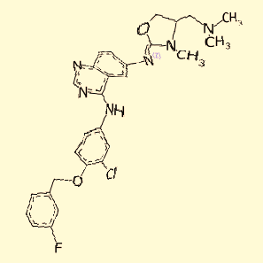 CN(C)CC1CO/C(=N\c2ccc3ncnc(Nc4ccc(OCc5cccc(F)c5)c(Cl)c4)c3c2)N1C